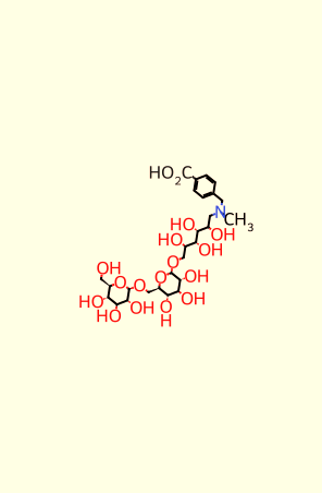 CN(Cc1ccc(C(=O)O)cc1)CC(O)[C@@H](O)[C@H](O)[C@H](O)CO[C@@H]1O[C@H](CO[C@@H]2O[C@H](CO)[C@@H](O)[C@H](O)[C@H]2O)[C@@H](O)[C@H](O)[C@H]1O